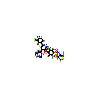 O=S(=O)(Nc1cscn1)c1cc(Cl)c(Oc2cnc(-c3cccc(F)c3)cc2-c2cncnc2)cc1F